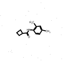 Cc1ccc(NC(=O)C2CCC2)c(C)c1